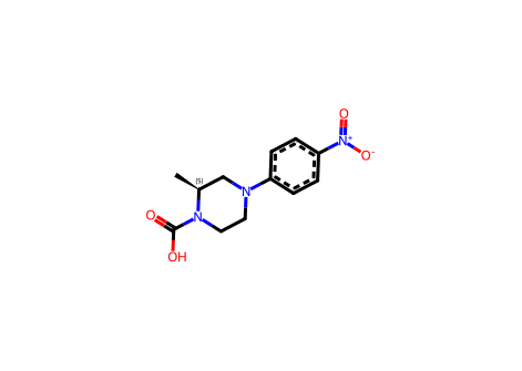 C[C@H]1CN(c2ccc([N+](=O)[O-])cc2)CCN1C(=O)O